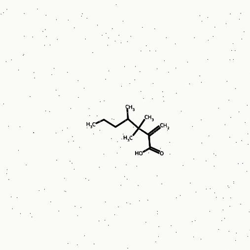 C=C(C(=O)O)C(C)(C)C(C)CCC